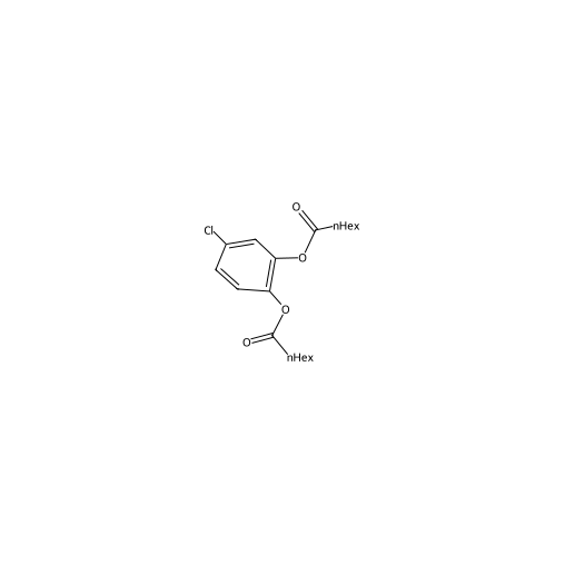 CCCCCCC(=O)Oc1ccc(Cl)cc1OC(=O)CCCCCC